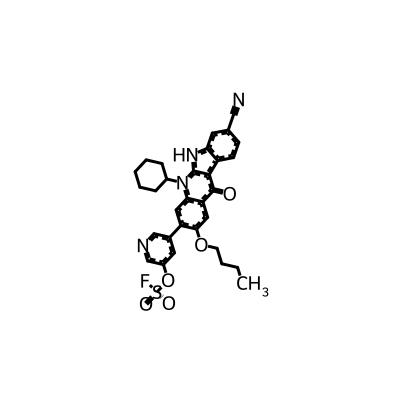 CCCCOc1cc2c(=O)c3c4ccc(C#N)cc4[nH]c3n(C3CCCCC3)c2cc1-c1cncc(OS(=O)(=O)F)c1